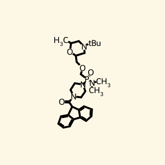 CC1CN(C(C)(C)C)CC(COCP(=O)(N(C)C)N2CCN(C(=O)C3c4ccccc4-c4ccccc43)CC2)O1